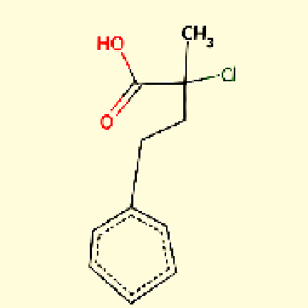 CC(Cl)(CCc1ccccc1)C(=O)O